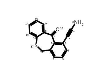 NC#Cc1cccc2c1C(=O)c1ccccc1SC2